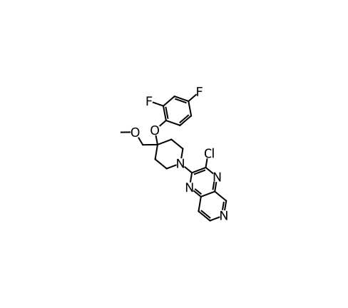 COCC1(Oc2ccc(F)cc2F)CCN(c2nc3ccncc3nc2Cl)CC1